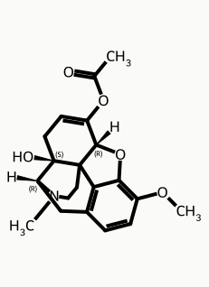 COc1ccc2c3c1O[C@H]1C(OC(C)=O)=CC[C@@]4(O)[C@@H](C2)N(C)CCC314